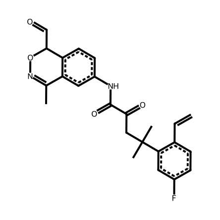 C=Cc1ccc(F)cc1C(C)(C)CC(=O)C(=O)Nc1ccc2c(c1)C(C)=NOC2C=O